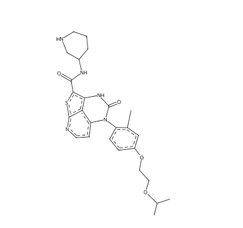 Cc1cc(OCCOC(C)C)ccc1N1C(=O)Nc2c(C(=O)NC3CCCNC3)sc3nccc1c23